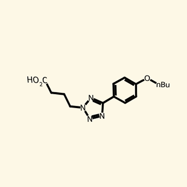 CCCCOc1ccc(-c2nnn(CCCC(=O)O)n2)cc1